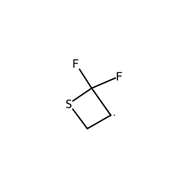 FC1(F)[CH]CS1